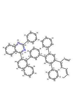 C=C/C(=C\C=C/C)c1cc(-c2ccccc2)c(-c2cccc(-c3c(-c4nc(-c5ccccc5)nc5ccccc45)ccc4ccccc34)c2)cc1-c1ccccc1